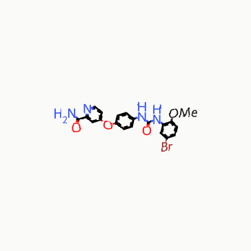 COc1ccc(Br)cc1NC(=O)Nc1ccc(Oc2ccnc(C(N)=O)c2)cc1